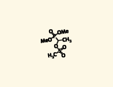 COP(=O)(OC)C(C)OS(C)(=O)=O